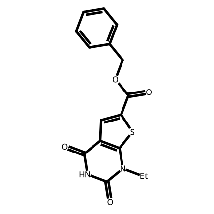 CCn1c(=O)[nH]c(=O)c2cc(C(=O)OCc3ccccc3)sc21